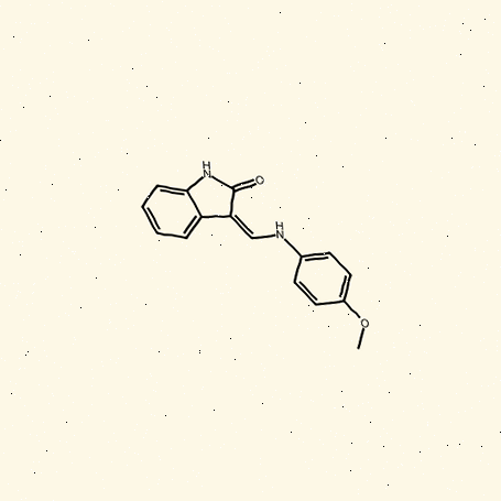 COc1ccc(N/C=C2\C(=O)Nc3ccccc32)cc1